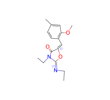 CC/N=C1\O/C(=C/c2ccc(C)cc2OC)C(=O)N1CC